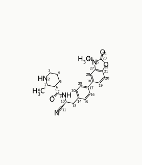 C[C@@H]1NCCC[C@@H]1C(=O)N[C@H](C#N)Cc1ccc(-c2ccc3oc(=O)n(C)c3c2)cc1